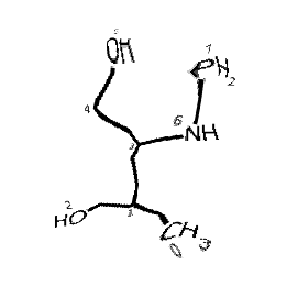 CC(O)C(CO)NP